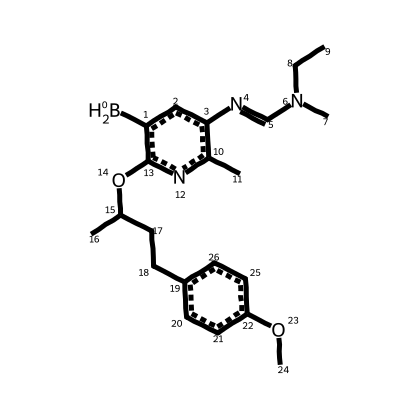 Bc1cc(/N=C/N(C)CC)c(C)nc1OC(C)CCc1ccc(OC)cc1